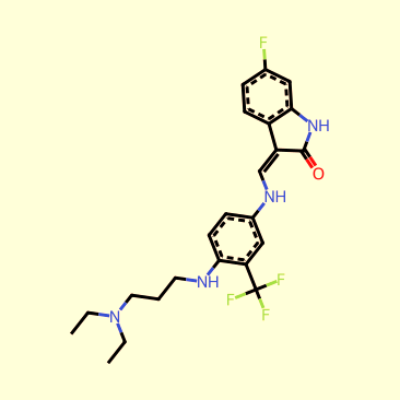 CCN(CC)CCCNc1ccc(NC=C2C(=O)Nc3cc(F)ccc32)cc1C(F)(F)F